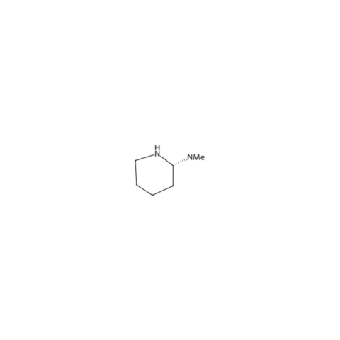 CN[C@@H]1CCCCN1